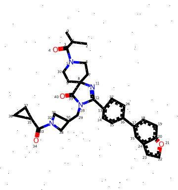 CC(C)C(=O)N1CCC2(CC1)N=C(c1ccc(-c3ccc4occc4c3)cc1)N(CC1CN(C(=O)C3CC3)C1)C2=O